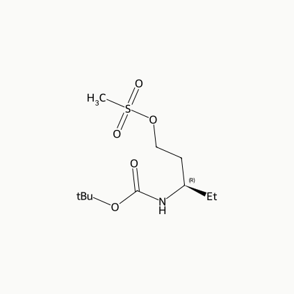 CC[C@H](CCOS(C)(=O)=O)NC(=O)OC(C)(C)C